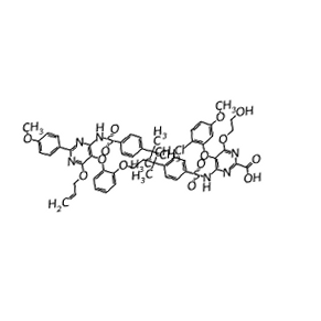 C=CCOc1nc(-c2ccc(OC)cc2)nc(NS(=O)(=O)c2ccc(C(C)(C)C)cc2)c1Oc1ccccc1OCCC(C)(C)c1ccc(S(=O)(=O)Nc2nc(C(=O)O)nc(OCCO)c2Oc2cc(OC)ccc2Cl)cc1